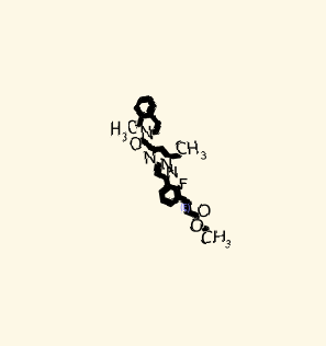 CCOC(=O)/C=C/c1cccc(-c2cc3nc(C(=O)N4CCc5ccccc5[C@H]4C)cc(CC)n3n2)c1F